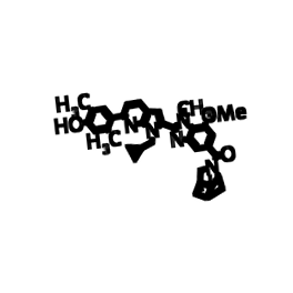 COc1cc(C(=O)N2CC3CC4CC2[C@H]43)cc2nc(-c3cc4ccc(-c5cc(C)c(O)cc5C)nc4n3CC3CC3)n(C)c12